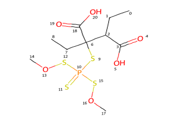 CCC(C(=O)O)C(CC)(SP(=S)(SOC)SOC)C(=O)O